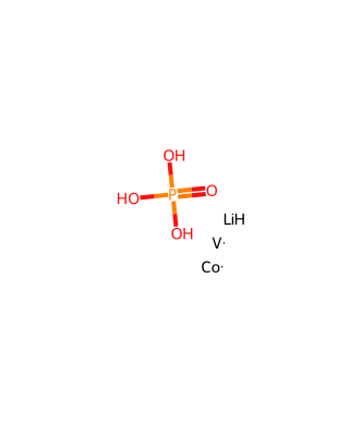 O=P(O)(O)O.[Co].[LiH].[V]